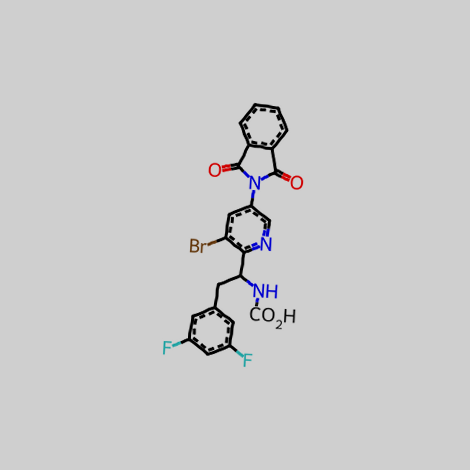 O=C(O)NC(Cc1cc(F)cc(F)c1)c1ncc(N2C(=O)c3ccccc3C2=O)cc1Br